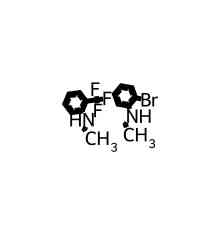 CCNc1ccccc1Br.CCNc1ccccc1C(F)(F)F